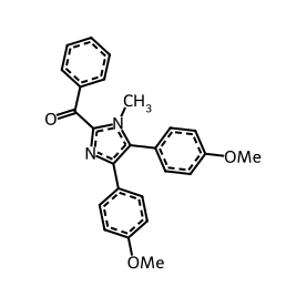 COc1ccc(-c2nc(C(=O)c3ccccc3)n(C)c2-c2ccc(OC)cc2)cc1